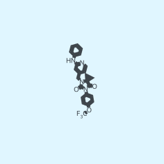 O=C1N(c2ccc(OC(F)(F)F)cc2)C(=O)C2(CC2)N1Cc1ccnc(Nc2ccccc2)c1